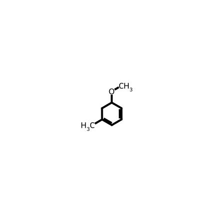 COC1C=CC=C(C)C1